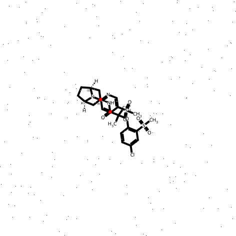 CC(C)(Oc1ccc(Cl)cc1S(C)(=O)=O)C(=O)N[C@H]1C[C@H]2CC[C@@H](C1)N2c1ccc(S(C)(=O)=O)cn1